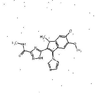 CNC(=O)c1n[nH]c(-c2c(-n3ccnc3)c3cc(OC)c(Cl)cc3n2C)n1